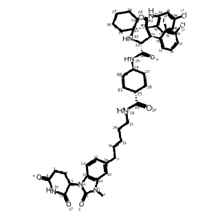 Cn1c(=O)n(C2CCC(=O)NC2=O)c2ccc(CCCCCNC(=O)[C@H]3CC[C@H](NC(=O)[C@@H]4NC5(CCCCC5)[C@@]5(C(=O)Nc6cc(Cl)ccc65)[C@H]4c4cccc(Cl)c4F)CC3)cc21